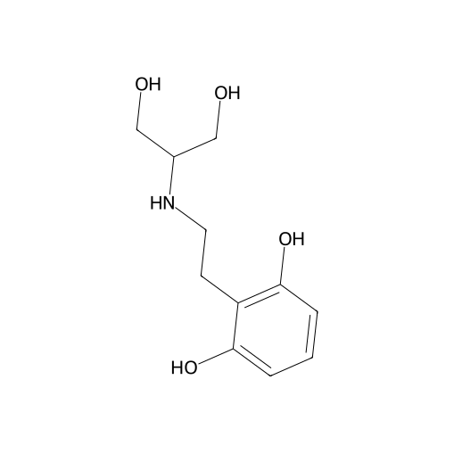 OCC(CO)NCCc1c(O)cccc1O